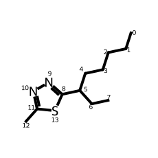 CCCCCC(CC)c1nnc(C)s1